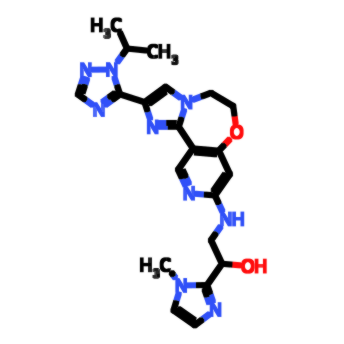 CC(C)n1ncnc1-c1cn2c(n1)-c1cnc(NCC(O)c3nccn3C)cc1OCC2